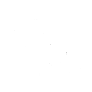 CN(C1=NCCS1)c1ccc(C(O)(C(F)(F)F)C(F)(F)F)cc1